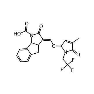 CC1=CC(OC=C2C(=O)N(C(=O)O)C3c4ccccc4CC23)N(CC(F)(F)F)C1=O